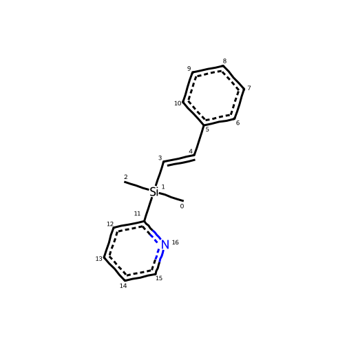 C[Si](C)(/C=C/c1ccccc1)c1ccccn1